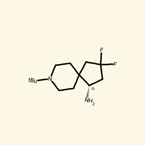 CC(C)(C)N1CCC2(CC1)CC(F)(F)C[C@@H]2N